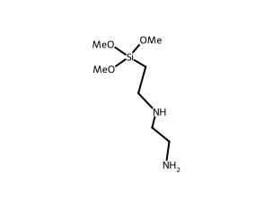 CO[Si](CCNCCN)(OC)OC